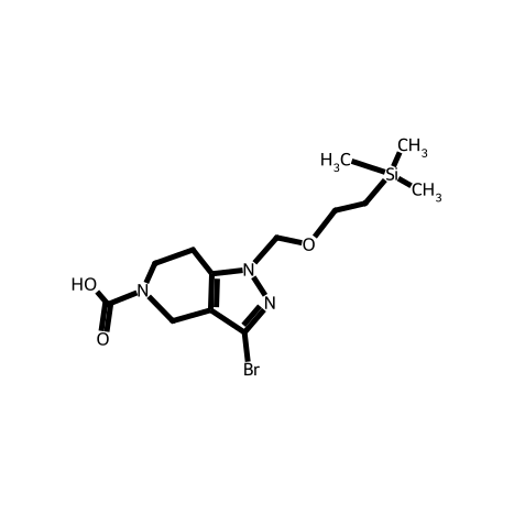 C[Si](C)(C)CCOCn1nc(Br)c2c1CCN(C(=O)O)C2